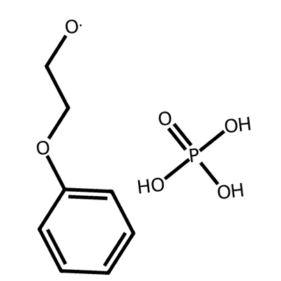 O=P(O)(O)O.[O]CCOc1ccccc1